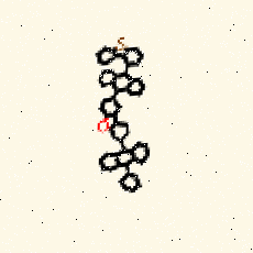 C1=Cc2c(c(-c3ccc4oc5c(c4c3)=CCC(c3c4ccccc4c(-c4ccccc4)c4ccccc34)C=5)c3ccccc3c2-c2cccc3sc4ccccc4c23)CC1